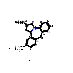 CNC1CC2c3cc(C)ccc3Cc3ccccc3N2C1